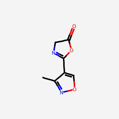 Cc1nocc1C1=NCC(=O)O1